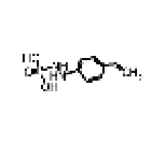 C=Cc1ccc(NNP(=O)(O)O)cc1